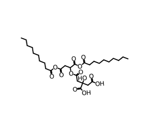 CCCCCCCCCC(=O)OC(=O)CC(OC(=O)CC(O)(CC(=O)O)C(=O)O)C(=O)OC(=O)CCCCCCCCC